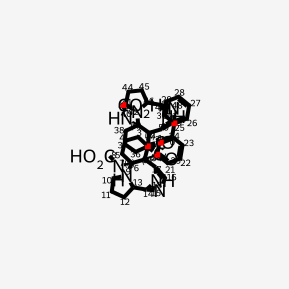 O=C=C1CCC[C@@]2(NC(=O)O)N3CCCC3c3ncc([nH]3)[C@@]12c1cccc(-c2ccccc2)c1[C@]12C(=C=O)CCC[C@@]1(NC(=O)O)N1CCCC1c1ncc2[nH]1